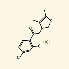 CC1=C(C)N(CC(=O)c2ccc(Cl)cc2Cl)CS1.Cl